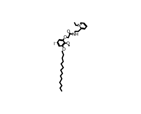 CCCCCCCCCCCCCCOc1cccc(OCC(=O)NCCc2cccc[n+]2CC)c1OC.[I-]